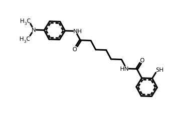 CN(C)c1ccc(NC(=O)CCCCCNC(=O)c2ccccc2S)cc1